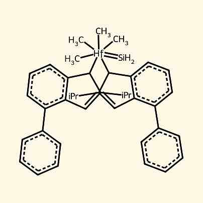 CC(C)C1=Cc2c(-c3ccccc3)cccc2[CH]1[Hf]([CH3])([CH3])([CH3])([CH3])(=[SiH2])[CH]1C(C(C)C)=Cc2c(-c3ccccc3)cccc21